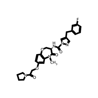 CN1C(=O)[C@@H](NC(=O)n2cc(Cc3cccc(F)c3)cn2)COc2ccc(OCC(=O)N3CCCC3)cc21